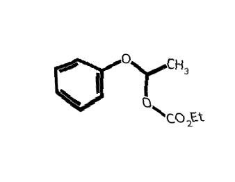 [CH2]COC(=O)OC(C)Oc1ccccc1